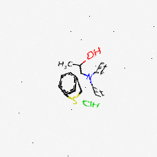 CCN(CC)CC(C)O.Cl.c1cc2cc(c1)SC2